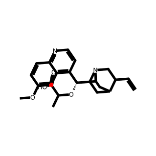 C=CC1CN2CCC1CC2[C@H](OC(C)C(=O)O)c1ccnc2ccc(OC)cc12